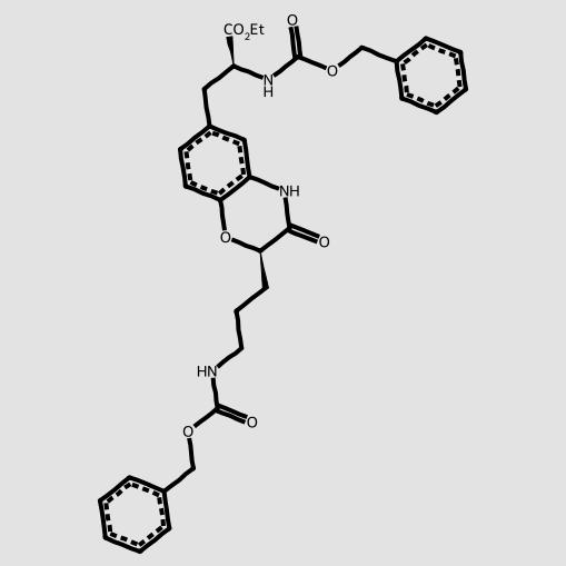 CCOC(=O)[C@H](Cc1ccc2c(c1)NC(=O)[C@@H](CCCNC(=O)OCc1ccccc1)O2)NC(=O)OCc1ccccc1